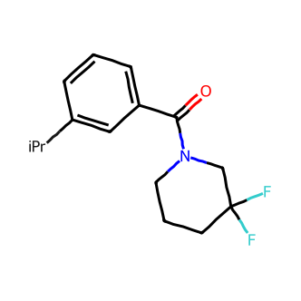 CC(C)c1cccc(C(=O)N2CCCC(F)(F)C2)c1